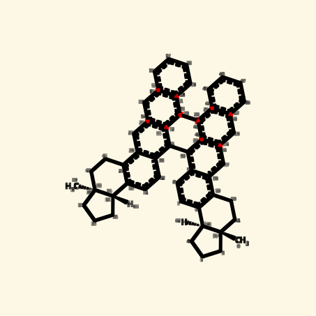 C[C@@]12CCC[C@H]1c1ccc3c(-c4c(P(c5ccccc5)c5ccccc5)ccc5c6c(ccc45)[C@@H]4CCC[C@@]4(C)CC6)c(P(c4ccccc4)c4ccccc4)ccc3c1CC2